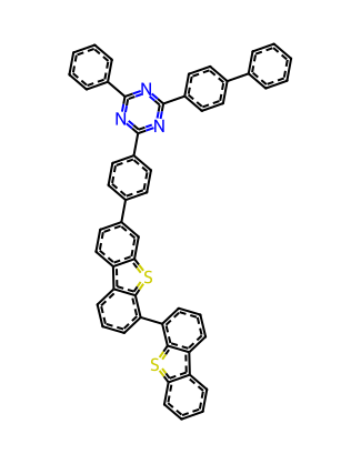 c1ccc(-c2ccc(-c3nc(-c4ccccc4)nc(-c4ccc(-c5ccc6c(c5)sc5c(-c7cccc8c7sc7ccccc78)cccc56)cc4)n3)cc2)cc1